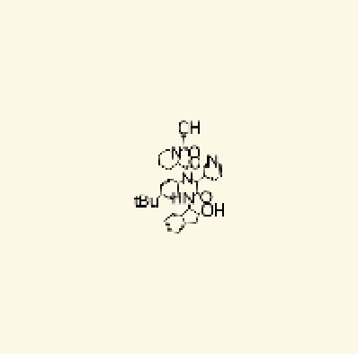 C#CC(=O)N1CCCCC1C(=O)N(c1ccc(C(C)(C)C)cc1)C(C(=O)NC1c2ccccc2CC1O)c1cccnc1